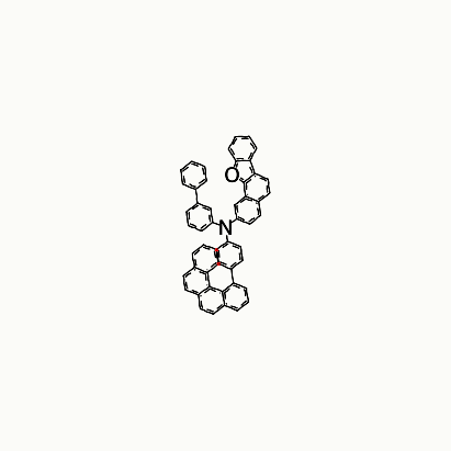 c1ccc(-c2cccc(N(c3ccc(-c4cccc5ccc6ccc7ccccc7c6c45)cc3)c3ccc4ccc5c6ccccc6oc5c4c3)c2)cc1